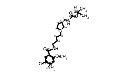 COc1cc(N)c(Cl)cc1C(=O)NCCCCN1CC[C@@H](CNC(=O)OC(C)(C)C)C1